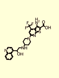 Nc1c(C(=O)O)sc2nc(N3CCC(NCC(O)c4ccnc5ccccc45)CC3)cc(C(F)(F)F)c12